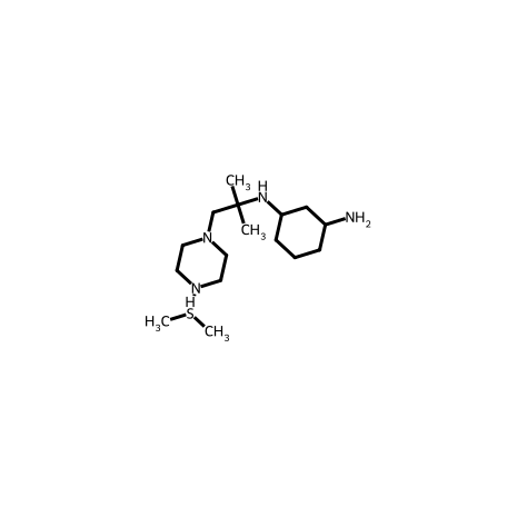 C[SH](C)N1CCN(CC(C)(C)NC2CCCC(N)C2)CC1